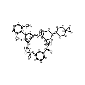 Cc1cccc(C)c1-c1cc2nc(n1)NS(=O)(=O)c1cccc(c1)C(=O)N[C@@H]1CN(C3CCC4(CC3)CC4)CC[C@H]1O2